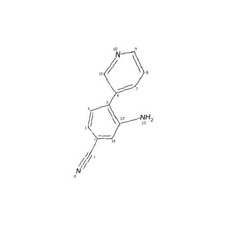 N#Cc1ccc(-c2cccnc2)c(N)c1